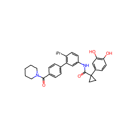 CC(C)c1ccc(NC(=O)C2(c3ccc(O)c(O)c3)CC2)cc1-c1ccc(C(=O)N2CCCCC2)cc1